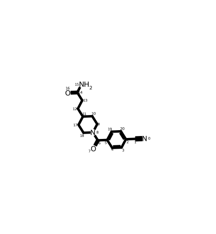 N#Cc1ccc(C(=O)N2CCC(CCC(N)=O)CC2)cc1